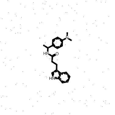 CC(NC(=O)CCc1c[nH]c2ccccc12)c1ccc(N(C)C)cc1